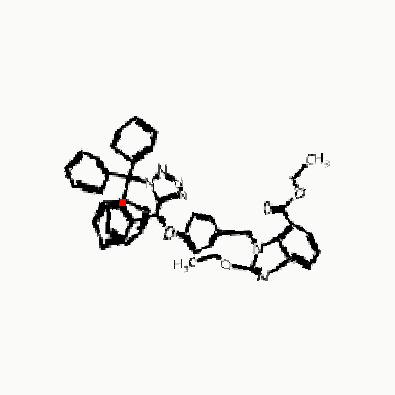 CCOC(=O)c1cccc2nc(OCC)n(Cc3ccc(OC(c4ccccc4)c4nnnn4C(c4ccccc4)(c4ccccc4)c4ccccc4)cc3)c12